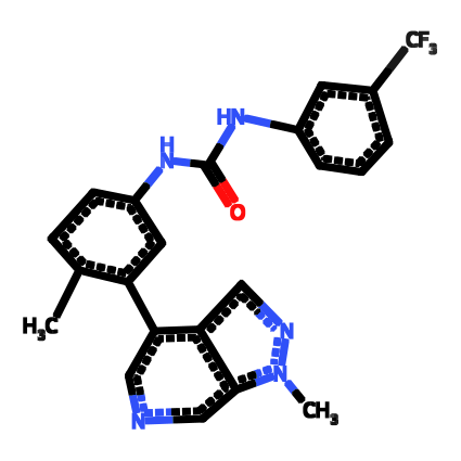 Cc1ccc(NC(=O)Nc2cccc(C(F)(F)F)c2)cc1-c1cncc2c1cnn2C